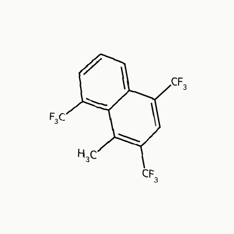 Cc1c(C(F)(F)F)cc(C(F)(F)F)c2cccc(C(F)(F)F)c12